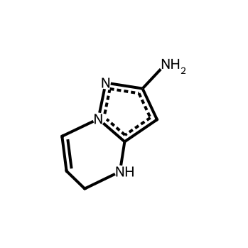 Nc1cc2n(n1)C=CCN2